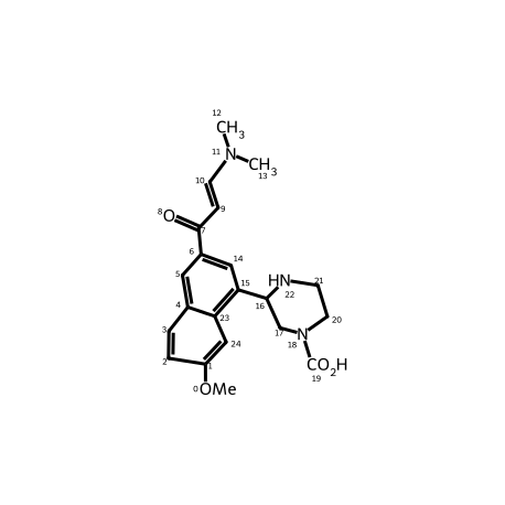 COc1ccc2cc(C(=O)C=CN(C)C)cc(C3CN(C(=O)O)CCN3)c2c1